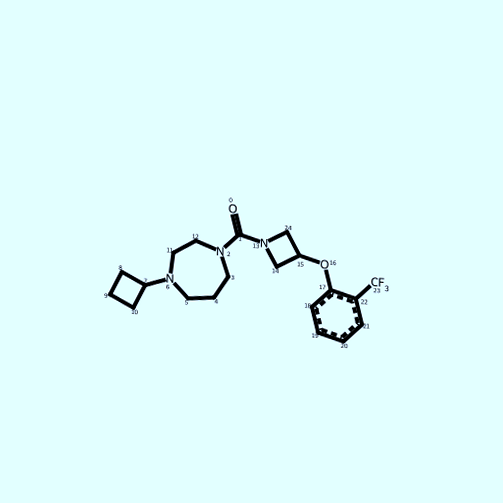 O=C(N1CCCN(C2CCC2)CC1)N1CC(Oc2ccccc2C(F)(F)F)C1